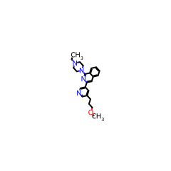 CCN1CCN(c2nc(-c3cncc(CCCOC)c3)cc3ccccc23)CC1